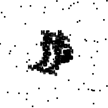 Cc1cc(NC2CCN(C(=O)O[C@H]3CCN(C(=O)/C=C/CN(C)C)C3)CC2)n2ncc(C(C)C)c2n1.Cc1cc(NC2CCN(C(=O)O[C@H]3CCN(C(=O)/C=C/CN(C)C)C3)CC2)n2ncc(C(C)C)c2n1.O.O.O=S(=O)(O)CCS(=O)(=O)O